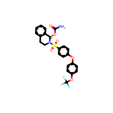 NC(=O)O[C@@H]1c2ccccc2CCN1S(=O)(=O)c1ccc(Oc2ccc(OC(F)(F)F)cc2)cc1